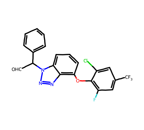 O=CC(c1ccccc1)n1nnc2c(Oc3c(F)cc(C(F)(F)F)cc3Cl)cccc21